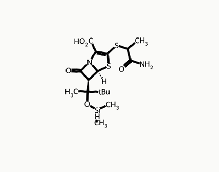 CC(SC1=C(C(=O)O)N2C(=O)[C@H](C(C)(O[SiH](C)C)C(C)(C)C)[C@@H]2S1)C(N)=O